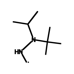 [CH2]NN(C(C)C)C(C)(C)C